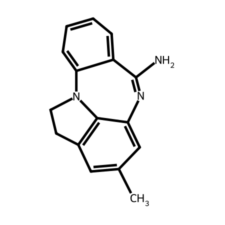 Cc1cc2c3c(c1)N=C(N)c1ccccc1N3CC2